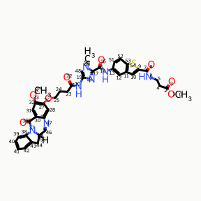 COC(=O)CCNC(=O)c1cc2cc(NC(=O)c3nc(NC(=O)CCCOc4cc5c(cc4OC)C(=O)N4c6ccccc6C[C@H]4C=N5)cn3C)ccc2s1